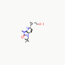 Cn1c(=O)n(CC(C)(C)C)c2ccc(C3C[C@H]3CCO)nc21